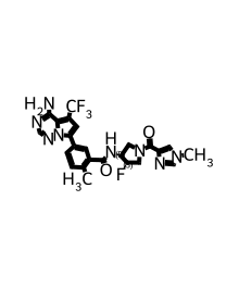 Cc1ccc(-c2cc(C(F)(F)F)c3c(N)ncnn23)cc1C(=O)N[C@@H]1CN(C(=O)c2cn(C)cn2)C[C@@H]1F